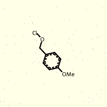 COc1ccc(COCl)cc1